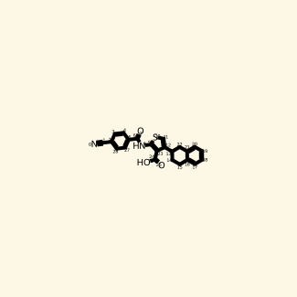 N#Cc1ccc(C(=O)Nc2scc(C3CCc4ccccc4C3)c2C(=O)O)cc1